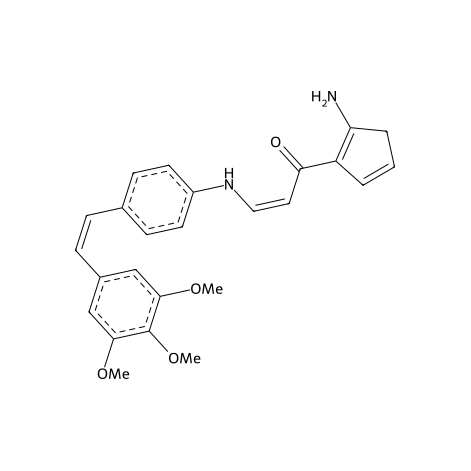 COc1cc(/C=C\c2ccc(N/C=C\C(=O)C3=C(N)CC=C3)cc2)cc(OC)c1OC